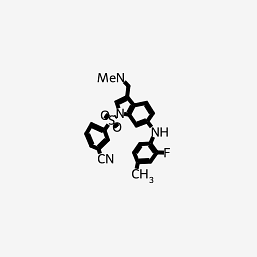 CNCc1cn(S(=O)(=O)c2cccc(C#N)c2)c2cc(Nc3ccc(C)cc3F)ccc12